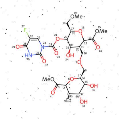 CC[C@H]1C(C(=O)OC)O[C@@H](COC[C@@H]2C(C(=O)OC)O[C@H](COC)C(OC(=O)n3cc(F)c(=O)[nH]c3=O)[C@@H]2O)C(O)[C@@H]1O